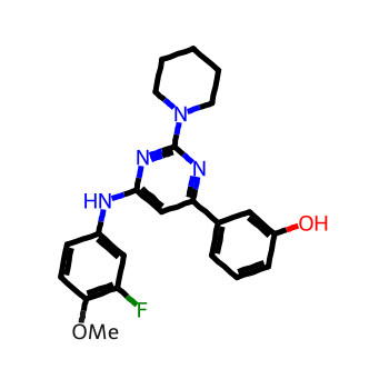 COc1ccc(Nc2cc(-c3cccc(O)c3)nc(N3CCCCC3)n2)cc1F